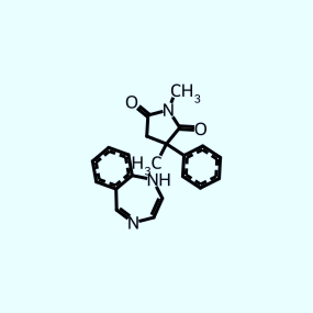 C1=CNc2ccccc2C=N1.CN1C(=O)CC(C)(c2ccccc2)C1=O